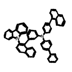 c1ccc(-c2ccc(N(c3ccc(-c4cccc5ccccc45)cc3)c3cccc(-c4c(-n5c6ccccc6c6ccccc65)ccc5ccccc45)c3)cc2)cc1